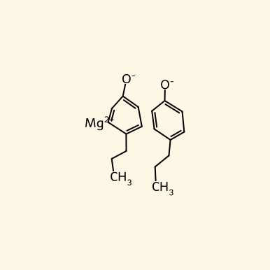 CCCc1ccc([O-])cc1.CCCc1ccc([O-])cc1.[Mg+2]